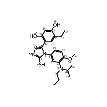 CCCN(c1cc(-n2c(S)nnc2-c2cc(CC)c(O)cc2O)ccc1OC)C(C)C